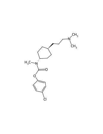 CN(C)CCC[C@H]1CC[C@H](N(C)C(=O)Oc2ccc(Cl)cc2)CC1